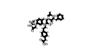 C=C(C)N[C@@H](Cc1ccccc1)C(=O)N[C@@H](Cc1ccc(N2CC(=O)NS2(=O)=O)cc1)C(=O)NCCc1ccc(CC(=O)O)cc1